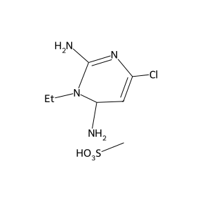 CCN1C(N)=NC(Cl)=CC1N.CS(=O)(=O)O